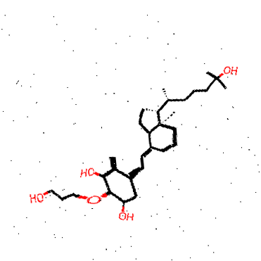 C=C1/C(=C\C=C2CCC[C@@]3(C)C2CC[C@@H]3[C@H](C)CCCC(C)(C)O)C[C@@H](O)C(OCCCO)C1O